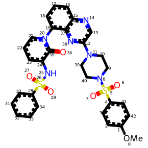 COc1ccc(S(=O)(=O)N2CCN(c3cnc4cccc(-n5cccc(NS(=O)(=O)c6ccccc6)c5=O)c4n3)CC2)cc1